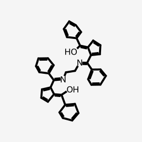 O/C(=C1/C=CC=C1/C(=N/CC/N=C(/C1=CC=C/C1=C(/O)c1ccccc1)c1ccccc1)c1ccccc1)c1ccccc1